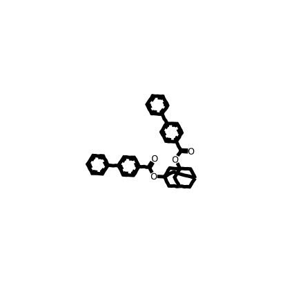 O=C(OC12CC3CC(C1)CC(OC(=O)c1ccc(-c4ccccc4)cc1)(C3)C2)c1ccc(-c2ccccc2)cc1